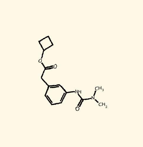 CN(C)C(=O)Nc1cccc(CC(=O)OC2CCC2)c1